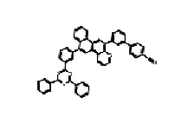 N#Cc1ccc(-c2cccc(-c3cc4c5ccccc5c(-c5cccc(-c6nc(-c7ccccc7)nc(-c7ccccc7)n6)c5)cc4c4cccnc34)c2)cc1